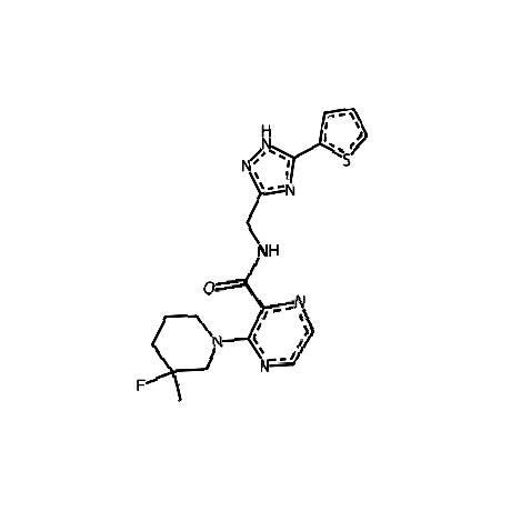 CC1(F)CCCN(c2nccnc2C(=O)NCc2n[nH]c(-c3cccs3)n2)C1